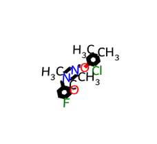 Cc1cc(Cl)c(OCN2C[C@@H](C)N(Cc3ccc(F)cc3)C(=C=O)[C@@H]2C)cc1C